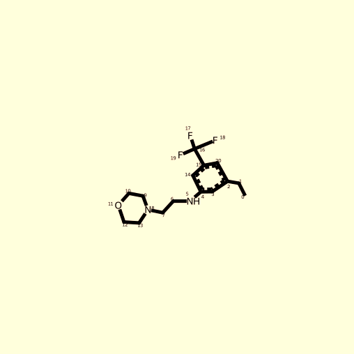 CCc1cc(NCCN2CCOCC2)cc(C(F)(F)F)c1